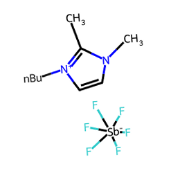 CCCC[n+]1ccn(C)c1C.[F][Sb-]([F])([F])([F])([F])[F]